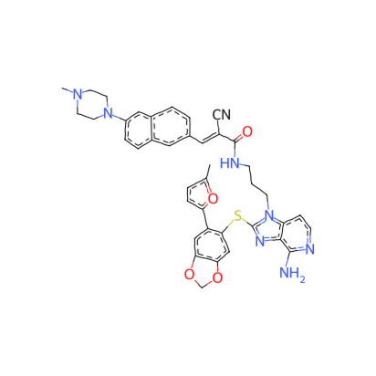 Cc1ccc(-c2cc3c(cc2Sc2nc4c(N)nccc4n2CCCNC(=O)/C(C#N)=C/c2ccc4cc(N5CCN(C)CC5)ccc4c2)OCO3)o1